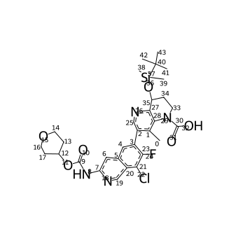 Cc1c(-c2cc3cc(NC(=O)OC4CCOCC4)ncc3c(Cl)c2F)cnc2c1N(C(=O)O)CCC2O[Si](C)(C)C(C)(C)C